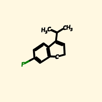 CC(C)C1=CCCc2cc(F)ccc21